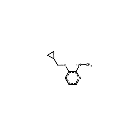 CNc1ncccc1OCC1CC1